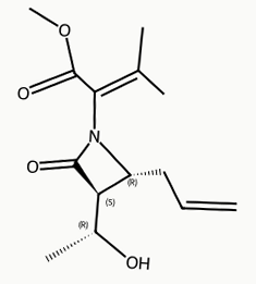 C=CC[C@@H]1[C@@H]([C@@H](C)O)C(=O)N1C(C(=O)OC)=C(C)C